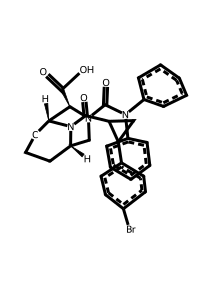 O=C(O)[C@@H]1[C@H]2CCC[C@@H](CN1C(=O)N(c1ccccc1)c1ccccc1)N2C(=O)C1CC1c1ccc(Br)cc1